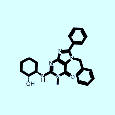 Cn1c(N[C@@H]2CCCC[C@H]2O)nc2nc(-c3ccccc3)n(Cc3ccccc3)c2c1=O